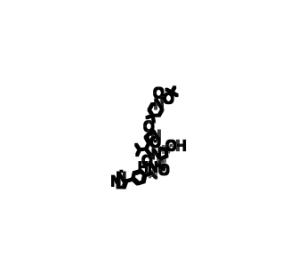 CC(C)C(C(=O)N1C[C@H](O)C[C@H]1C(=O)N[C@@H](C)c1ccc(-c2ccnn2C)cc1)c1cc(OCC2(C)CCN(C(=O)OC(C)(C)C)CC2)no1